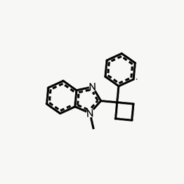 Cn1c(C2(c3[c]cccc3)CCC2)nc2ccccc21